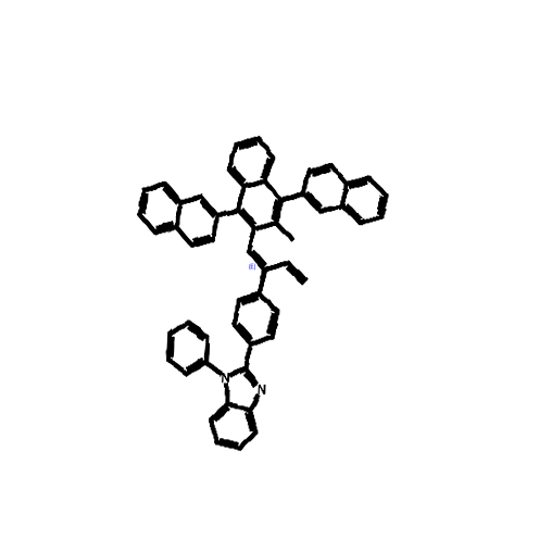 C=C/C(=C\c1c(C)c(-c2ccc3ccccc3c2)c2ccccc2c1-c1ccc2ccccc2c1)c1ccc(-c2nc3ccccc3n2-c2ccccc2)cc1